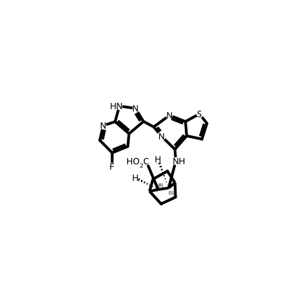 O=C(O)[C@@H]1C2CCC(CC2)[C@@H]1Nc1nc(-c2n[nH]c3ncc(F)cc23)nc2sccc12